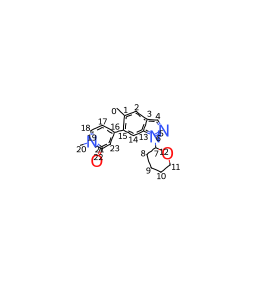 Cc1cc2cnn(C3CCCCO3)c2cc1-c1ccn(C)c(=O)c1